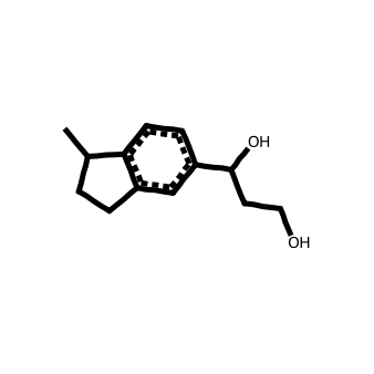 CC1CCc2cc(C(O)CCO)ccc21